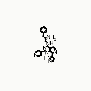 N[C@H](CNc1nc(-c2ccncc2)nc2c(-c3ccn[nH]3)nccc12)Cc1ccccc1